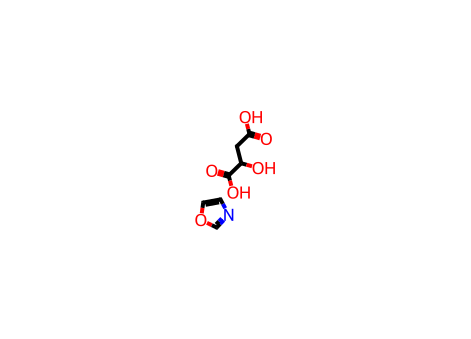 O=C(O)CC(O)C(=O)O.c1cocn1